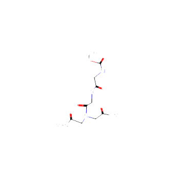 CNC(=O)CN(CC(=O)OC)C(=O)CNC(=O)CNC(=O)OC(C)(C)C